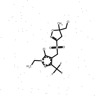 CCn1nc(C(F)(F)F)c(CS(=O)(=O)C2=NOC(C)(CCl)C2)c1Cl